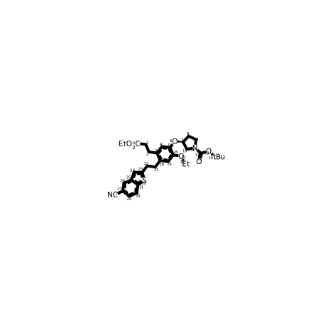 CCOC(=O)CCc1cc(O[C@H]2CCN(C(=O)OC(C)(C)C)C2)c(OCC)cc1CCc1cc2cc(C#N)ccc2s1